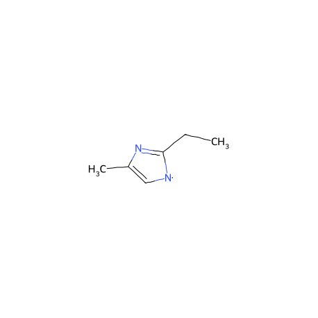 CCC1=NC(C)=C[N]1